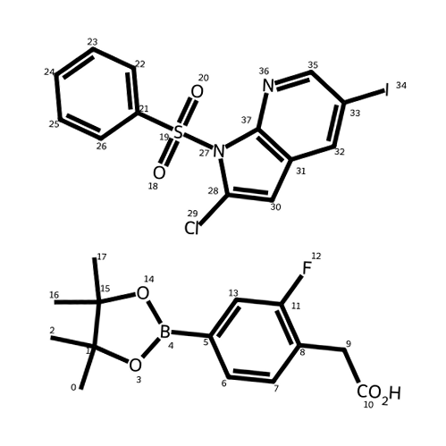 CC1(C)OB(c2ccc(CC(=O)O)c(F)c2)OC1(C)C.O=S(=O)(c1ccccc1)n1c(Cl)cc2cc(I)cnc21